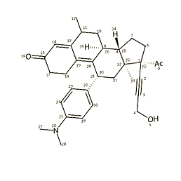 CC(=O)[C@@]1(C#CCO)CC[C@H]2[C@@H]3CC(C)C4=CC(=O)CCC4=C3[C@@H](c3ccc(N(C)C)cc3)C[C@@]21C